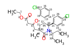 CCOC(=O)CC(=O)C[C@@]1(C)C[C@H](c2cccc(Cl)c2)[C@@H](c2ccc(Cl)cc2)N(C(CC)CC)C1=O